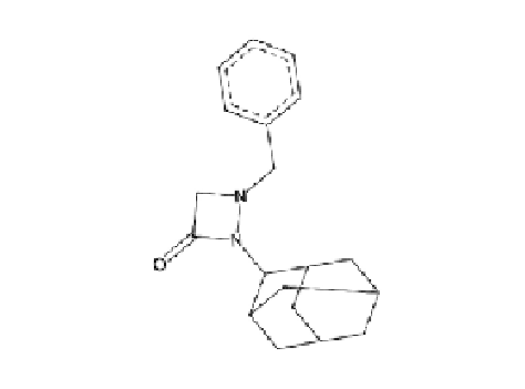 O=C1CN(Cc2ccccc2)N1C1C2CC3CC(C2)CC1C3